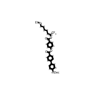 CCCCCCCCCCc1ccc(-c2ccc(C(=O)Oc3ccc(C(=O)O[C@H](CCCCCOCC)C(F)(F)F)cc3)cc2)cc1